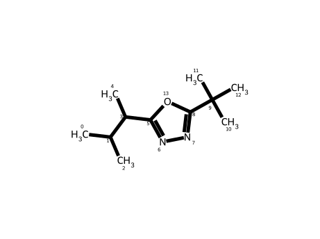 CC(C)C(C)c1nnc(C(C)(C)C)o1